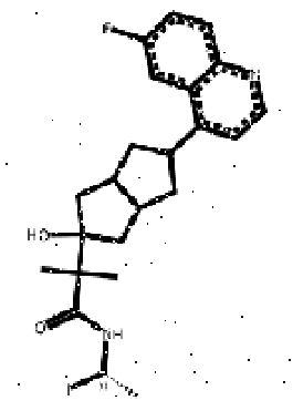 C[C@H](I)NC(=O)C(C)(C)C1(O)CC2CC(c3ccnc4ccc(F)cc34)CC2C1